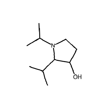 CC(C)C1C(O)CCN1C(C)C